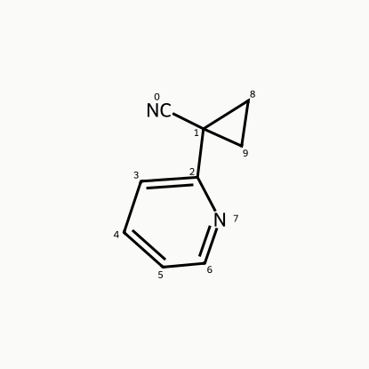 N#CC1(c2ccccn2)CC1